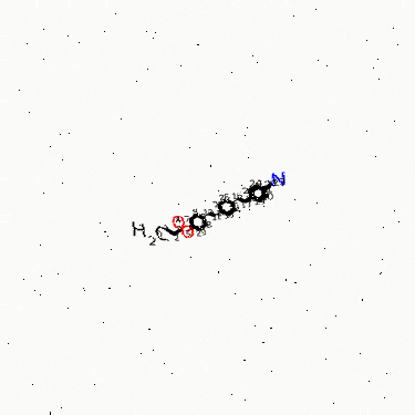 C=CCC(=O)O[C@H]1CC[C@H](CC[C@H]2CC[C@H](CCc3ccc(C#N)cc3)CC2)CC1